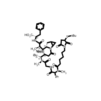 CCCCSC1CC(=O)N(CCCCCC(=O)N(C)C(C(=O)NCC(=O)N(C)[C@@H]([C@@H](C)CC)[C@@H](CC(=O)N2C3CC3C[C@H]2[C@H](OC)[C@@H](C)C(=O)N[C@@H](Cc2ccccc2)C(=O)O)OC)C(C)C)C1=O